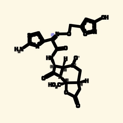 Nc1nc(/C(=N/OCc2cc(O)no2)C(=O)N[C@@H]2C(=O)N3[C@@H]2[S+]([O-])C[C@@H]2CC(=O)O[C@@]23C(=O)O)cs1